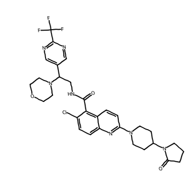 O=C(NCC(c1cnc(C(F)(F)F)nc1)N1CCOCC1)c1c(Cl)ccc2nc(N3CCC(N4CCCC4=O)CC3)ccc12